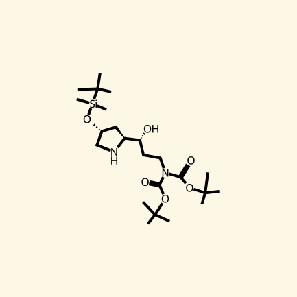 CC(C)(C)OC(=O)N(CC[C@@H](O)[C@@H]1C[C@@H](O[Si](C)(C)C(C)(C)C)CN1)C(=O)OC(C)(C)C